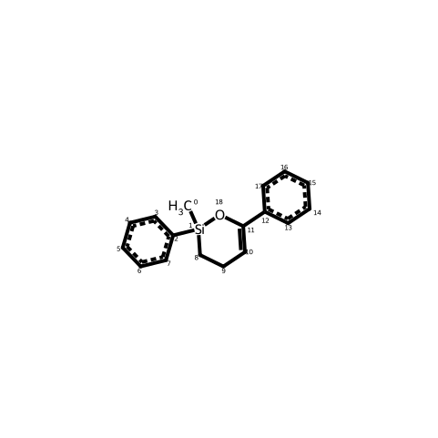 C[Si]1(c2ccccc2)CCC=C(c2ccccc2)O1